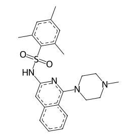 Cc1cc(C)c(S(=O)(=O)Nc2cc3ccccc3c(N3CCN(C)CC3)n2)c(C)c1